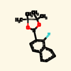 CC1(C)OB(c2ccc3ccccc3c2F)OC1(C)C